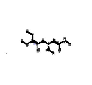 CC/C(OC)=C(/Cl)CC(N=C(Cl)NC)OC